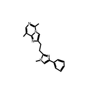 Cc1cnc(C)n2cc(CCc3nc(-c4ccccc4)cn3C)nc12